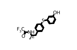 C[C@H](Cc1ccc(Sc2cccc(O)c2)cc1)NC(=O)C(F)(F)F